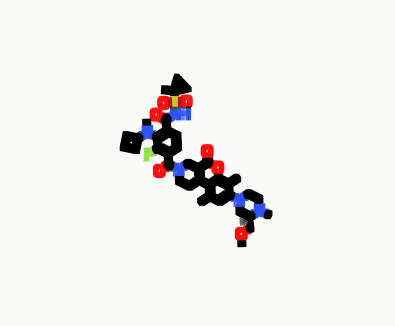 COC[C@H]1CN(c2cc(C)c3c4c(c(=O)oc3c2C)CN(C(=O)c2ccc(C(=O)NS(=O)(=O)C3(C)CC3)c(N(C)C3CCC3)c2F)CC4)CCN1C